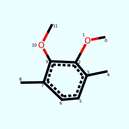 COc1c(C)ccc(C)c1OC